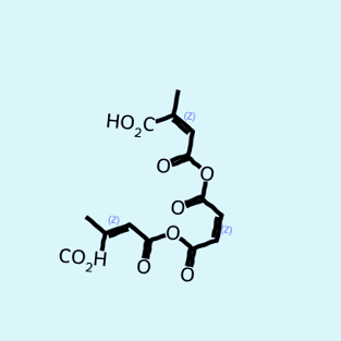 C/C(=C/C(=O)OC(=O)/C=C\C(=O)OC(=O)/C=C(/C)C(=O)O)C(=O)O